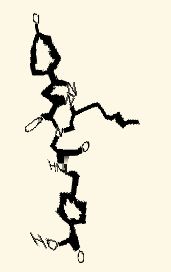 CCCCCC1CN(CC(=O)NCc2ccc(C(=O)O)cc2)C(=O)c2cc(-c3ccc(Cl)cc3)nn21